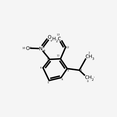 [CH2]C(C)c1cccc([N+](=O)[O-])c1C=C